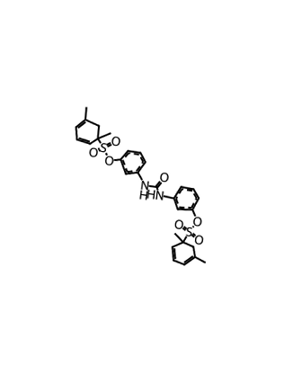 CC1=CC=CC(C)(S(=O)(=O)Oc2cccc(NC(=O)Nc3cccc(OS(=O)(=O)C4(C)C=CC=C(C)C4)c3)c2)C1